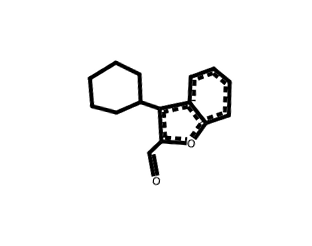 O=Cc1oc2ccccc2c1C1CCCCC1